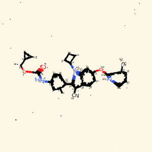 Cc1cc(NC(=O)O[C@H](C)C2CC2)ccc1-c1c(C#N)c2ccc(Oc3ncccc3C#N)cc2n1C1CCC1